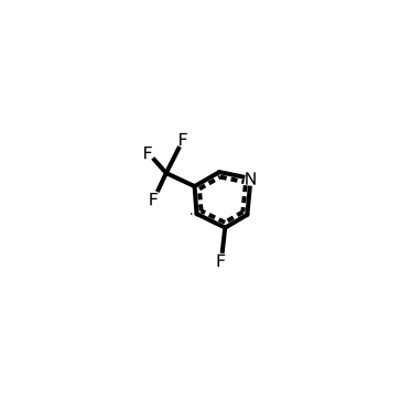 Fc1[c]c(C(F)(F)F)cnc1